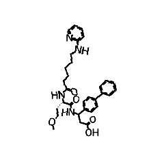 COCC[C@H](NC(=O)CCCCCNc1ccccn1)C(=O)NC(CC(=O)O)c1ccc(-c2ccccc2)cc1